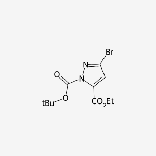 CCOC(=O)c1cc(Br)nn1C(=O)OC(C)(C)C